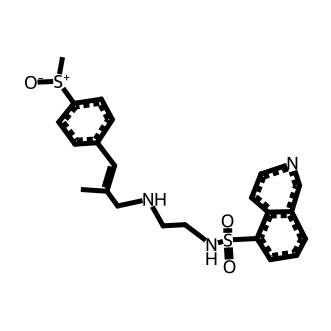 CC(=Cc1ccc([S+](C)[O-])cc1)CNCCNS(=O)(=O)c1cccc2cnccc12